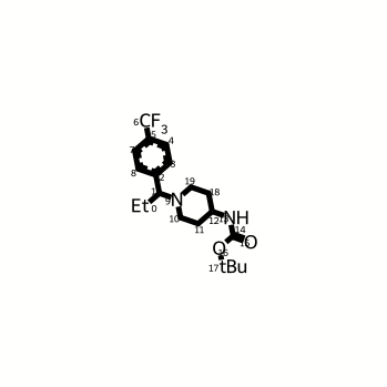 CCC(c1ccc(C(F)(F)F)cc1)N1CCC(NC(=O)OC(C)(C)C)CC1